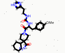 COc1ccc(CC(NC(=O)NCCc2c[nH]cn2)C(=O)N2CCC(C(N)=O)(C3CCCCC3)CC2)cc1